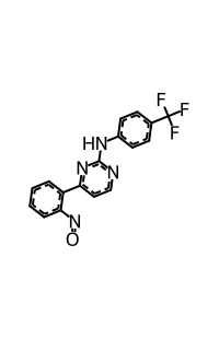 O=Nc1ccccc1-c1ccnc(Nc2ccc(C(F)(F)F)cc2)n1